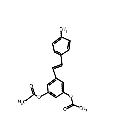 CC(=O)Oc1cc(/C=C/c2ccc(C)cc2)cc(OC(C)=O)c1